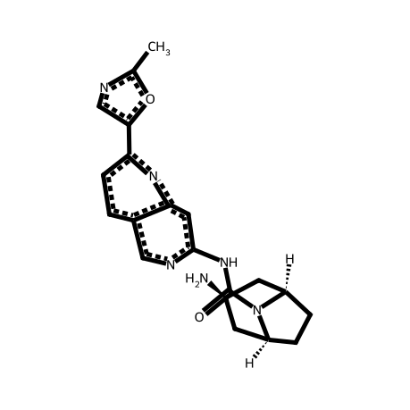 Cc1ncc(-c2ccc3cnc(NC(=O)N4[C@@H]5CC[C@H]4C[C@@H](N)C5)cc3n2)o1